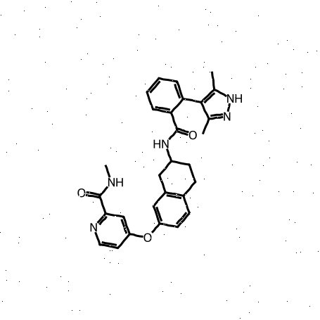 CNC(=O)c1cc(Oc2ccc3c(c2)CC(NC(=O)c2ccccc2-c2c(C)n[nH]c2C)CC3)ccn1